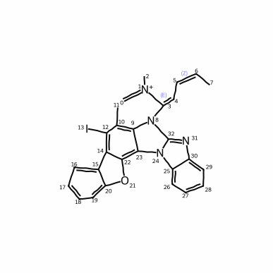 C=[N+](C)/C(=C\C=C/C)n1c2c(C)c(I)c3c4ccccc4oc3c2n2c3ccccc3nc12